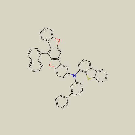 c1ccc(-c2cccc(N(c3ccc4oc5c(-c6cccc7ccccc67)c6c(cc5c4c3)oc3ccccc36)c3cccc4c3sc3ccccc34)c2)cc1